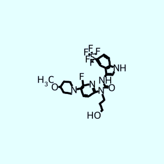 COC1CCN(c2ccc(N(CCCO)C(=O)Nc3c[nH]c4ccc(S(F)(F)(F)(F)F)cc34)nc2F)CC1